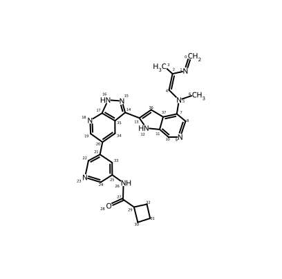 C=N/C(C)=C\N(C)c1cncc2[nH]c(-c3n[nH]c4ncc(-c5cncc(NC(=O)C6CCC6)c5)cc34)cc12